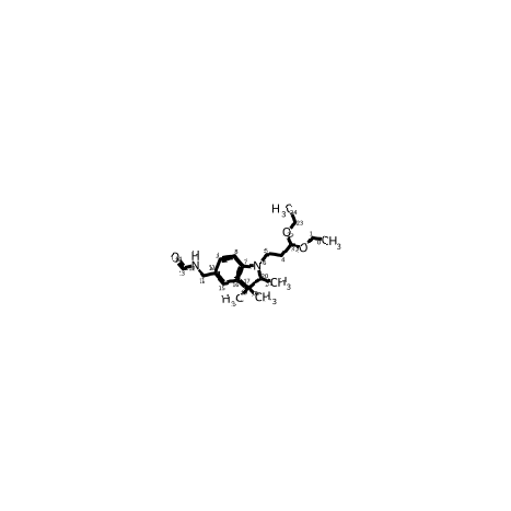 CCOC(CCN1c2ccc(CNC=O)cc2C(C)(C)C1C)OCC